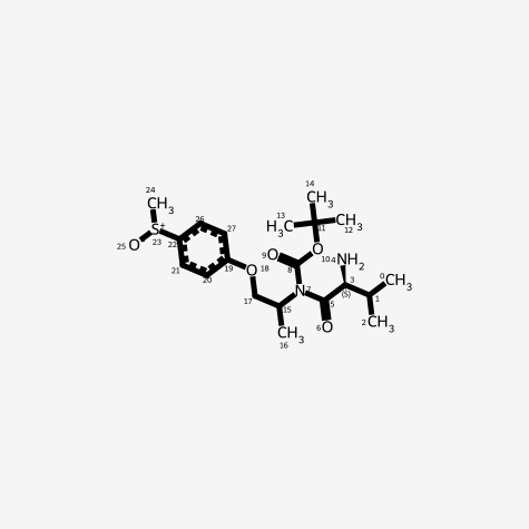 CC(C)[C@H](N)C(=O)N(C(=O)OC(C)(C)C)C(C)COc1ccc([S+](C)[O-])cc1